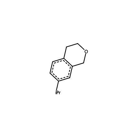 CC(C)c1ccc2c(c1)COCC2